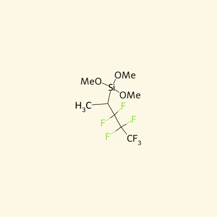 CO[Si](OC)(OC)C(C)C(F)(F)C(F)(F)C(F)(F)F